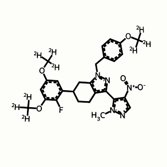 [2H]C([2H])([2H])Oc1ccc(Cn2nc(-c3c([N+](=O)[O-])cnn3C)c3c2CC(c2cc(OC([2H])([2H])[2H])cc(OC([2H])([2H])[2H])c2F)CC3)cc1